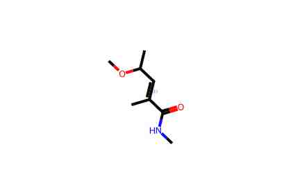 CNC(=O)/C(C)=C/C(C)OC